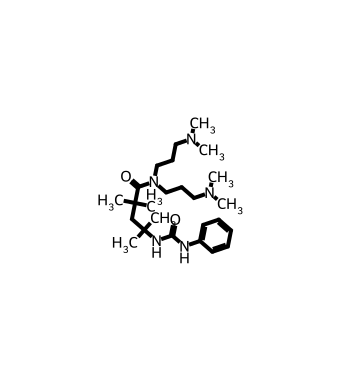 CN(C)CCCN(CCCN(C)C)C(=O)C(C)(C)CC(C)(C)NC(=O)Nc1ccccc1